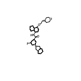 O=C(Nc1ccc(OCCN2CCOCC2)c2ccccc12)c1cc(F)cc(N2Cc3ccccc3C2)c1